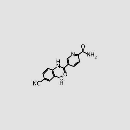 N#Cc1ccc(NC(=O)c2ccc(C(N)=O)nc2)c(O)c1